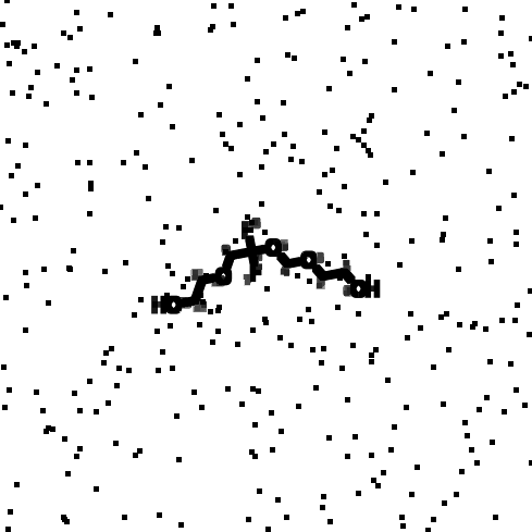 OCCOCOC(F)(F)COCCO